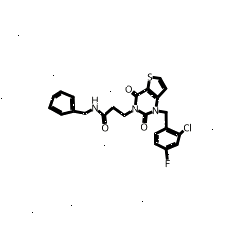 O=C(CCn1c(=O)c2sccc2n(Cc2ccc(F)cc2Cl)c1=O)NCc1ccccc1